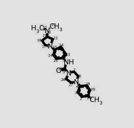 Cc1ccc(N2CCN(C(=O)Nc3ccc(N4CCC(N(C)C)C4)cc3)CC2)cc1